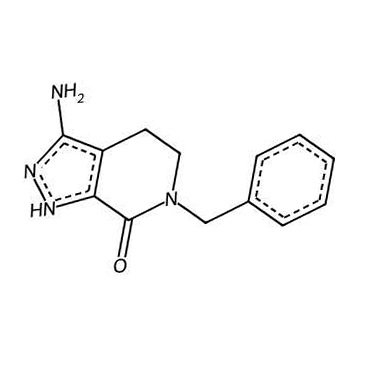 Nc1n[nH]c2c1CCN(Cc1ccccc1)C2=O